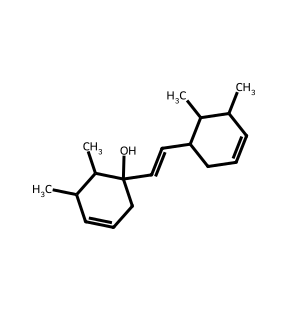 CC1C=CCC(C=CC2(O)CC=CC(C)C2C)C1C